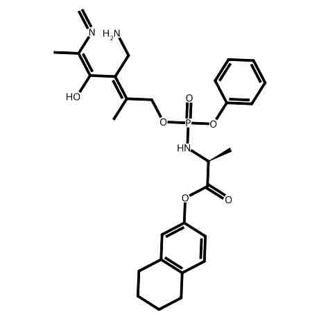 C=N/C(C)=C(O)\C(CN)=C(/C)COP(=O)(N[C@@H](C)C(=O)Oc1ccc2c(c1)CCCC2)Oc1ccccc1